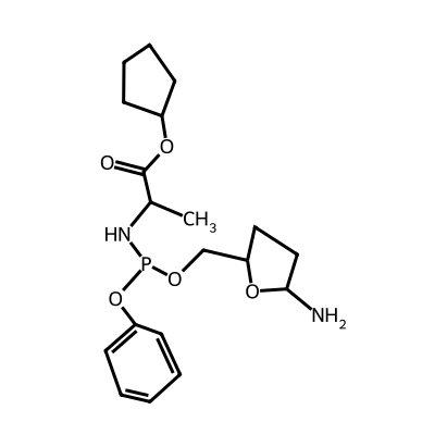 CC(NP(OCC1CCC(N)O1)Oc1ccccc1)C(=O)OC1CCCC1